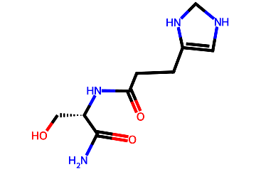 NC(=O)[C@H](CO)NC(=O)CCC1=CNCN1